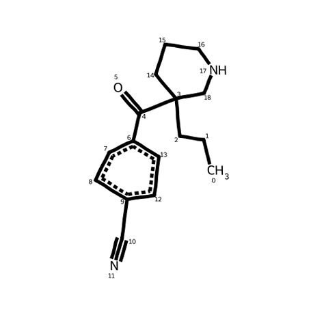 CCCC1(C(=O)c2ccc(C#N)cc2)CCCNC1